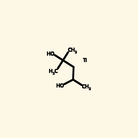 CC(O)CC(C)(C)O.[Ti]